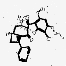 COc1cc(OC)c2c(c1Cl)O[C@@]1(C(=O)C3=C(c4ccccc4)CNC3C[C@H]1C)C2=O